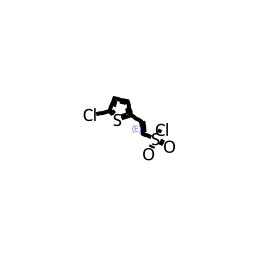 O=S(=O)(Cl)/C=C/c1ccc(Cl)s1